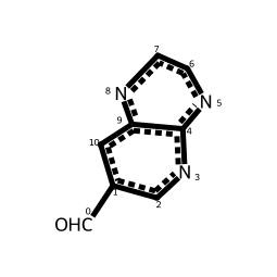 O=Cc1cnc2nccnc2c1